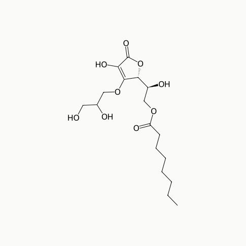 CCCCCCCC(=O)OC[C@H](O)[C@H]1OC(=O)C(O)=C1OCC(O)CO